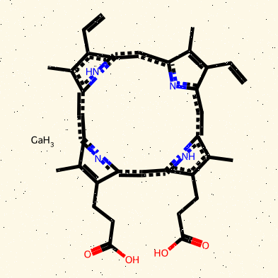 C=CC1=C(C)c2cc3[nH]c(cc4nc(cc5[nH]c(cc1n2)c(C)c5CCC(=O)O)C(CCC(=O)O)=C4C)c(C)c3C=C.[GaH3]